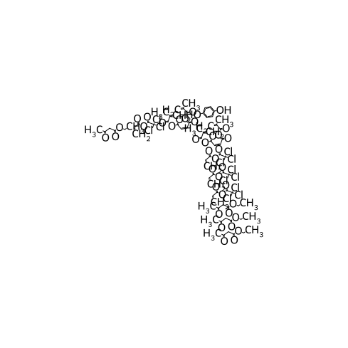 C=C(C)C(=O)OC(=O)/C=C\C(=O)OC(=O)C(=C)C.C=C(C)C(=O)OC(=O)/C=C\C(=O)OC(=O)C(=C)C.C=CC(=O)OC(=O)C(Cl)(Cl)Cl.C=CC(=O)OC(=O)C(Cl)(Cl)Cl.C=CC(=O)OC(=O)C(Cl)(Cl)Cl.C=CC(=O)OC(=O)C(Cl)(Cl)Cl.CCOC(=O)CC(C)=O.CCOC(=O)CC(C)=O.CCOC(=O)CC(C)=O.CCOC(=O)CC(C)=O.Oc1ccc(O)cc1